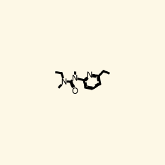 CCc1cccc(N(C)C(=O)N(C)CC)n1